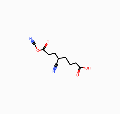 N#COC(=O)CCC(C#N)CCCC(=O)O